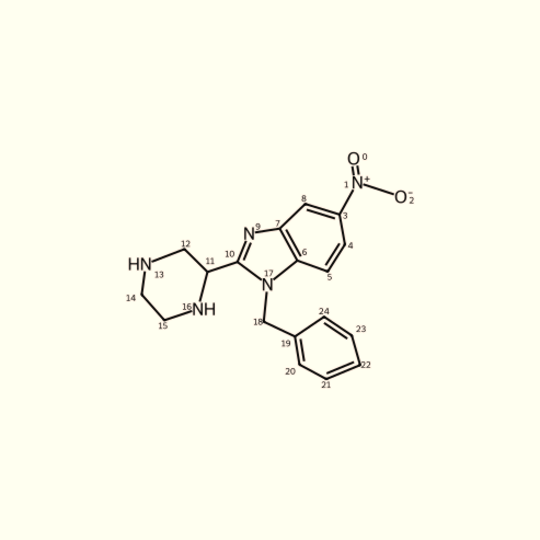 O=[N+]([O-])c1ccc2c(c1)nc(C1CNCCN1)n2Cc1ccccc1